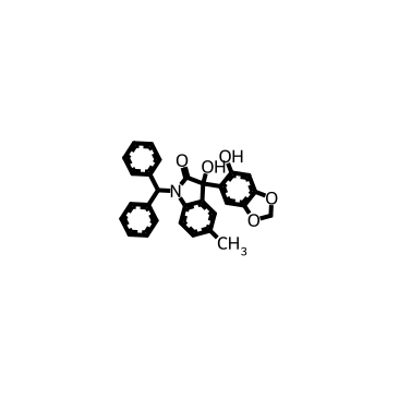 Cc1ccc2c(c1)C(O)(c1cc3c(cc1O)OCO3)C(=O)N2C(c1ccccc1)c1ccccc1